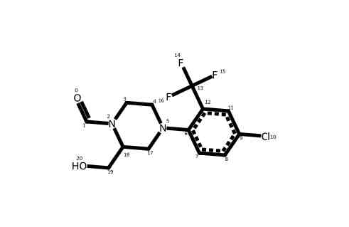 O=CN1CCN(c2ccc(Cl)cc2C(F)(F)F)CC1CO